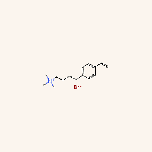 C=Cc1ccc(CCCC[N+](C)(C)C)cc1.[Br-]